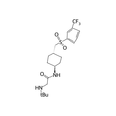 CC(C)(C)NCC(=O)N[C@H]1CC[C@H](CS(=O)(=O)c2cccc(C(F)(F)F)c2)CC1